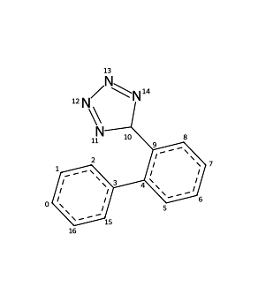 c1ccc(-c2ccccc2C2N=NN=N2)cc1